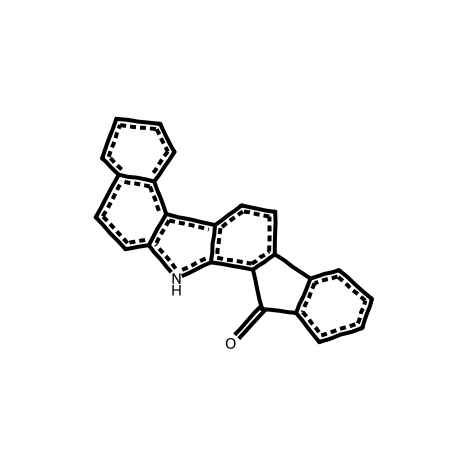 O=C1c2ccccc2-c2ccc3c([nH]c4ccc5ccccc5c43)c21